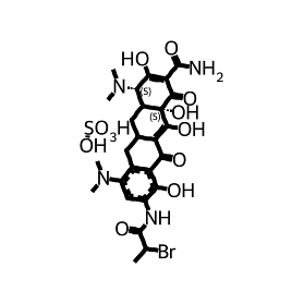 CC(Br)C(=O)Nc1cc(N(C)C)c2c(c1O)C(=O)C1=C(O)[C@]3(O)C(=O)C(C(N)=O)=C(O)[C@@H](N(C)C)C3CC1C2.O=S(=O)(O)O